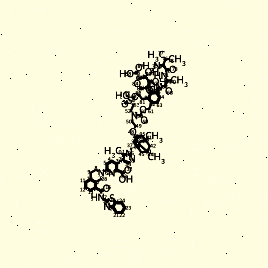 Cc1c(-c2ccc(N3CCc4cccc(C(=O)Nc5nc6ccccc6s5)c4C3)nc2C(=O)O)cnn1C[C@]12C[C@]3(C)C[C@](C)(C1)C[C@@](OCCN(CCS(=O)(=O)O)C(=O)OCc1ccc(NC(=O)[C@@H](C)NC(=O)[C@H](N)C(C)C)cc1CC[C@@H]1O[C@H](C(=O)O)[C@@H](O)[C@H](O)[C@H]1O)(C3)C2